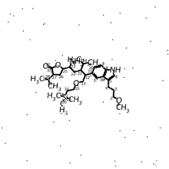 COCCCc1c[nH]c2ccc(C(COCC[Si](C)(C)C)C(CC(N)C3CC(C(C)C)C(=O)O3)C(C)C)cc12